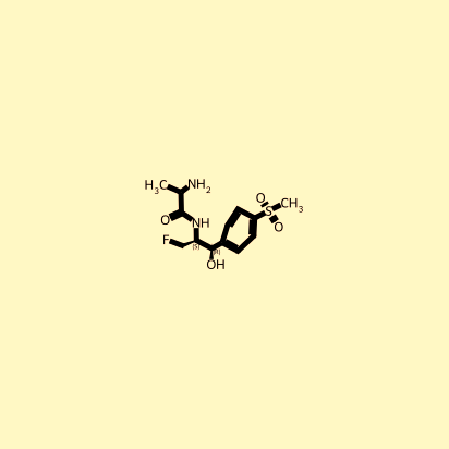 CC(N)C(=O)N[C@H](CF)[C@H](O)c1ccc(S(C)(=O)=O)cc1